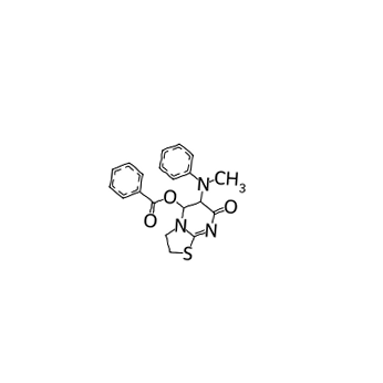 CN(c1ccccc1)C1C(=O)N=C2SCCN2C1OC(=O)c1ccccc1